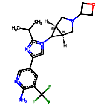 CC(C)c1nc(-c2cnc(N)c(C(F)(F)F)c2)cn1C1[C@H]2CN(C3COC3)C[C@@H]12